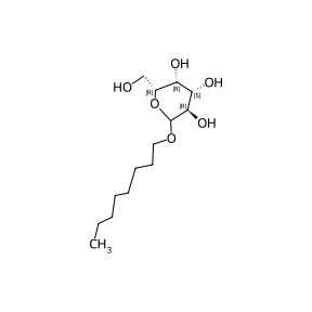 CCCCCCCCOC1O[C@H](CO)[C@H](O)[C@H](O)[C@H]1O